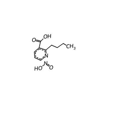 CCCCc1ncccc1C(=O)O.O=NO